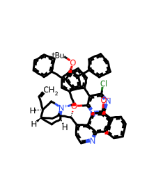 C=C[C@H]1C[N+]2(Cc3cc(-c4ccccc4)c(OC(C)(C)C)c(-c4ccccc4)c3)CC[C@H]1C[C@@H]2[C@H](Oc1nc(-c2ccccc2)nc(Cl)c1-c1ccccc1)c1ccnc2ccc([O-])cc12